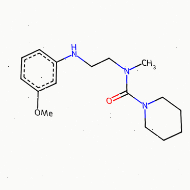 COc1cccc(NCCN(C)C(=O)N2CCCCC2)c1